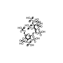 O=S(=O)(O)OC[C@H]1O[C@@H](OC[C@@H](OS(=O)(=O)O)[C@@H](OS(=O)(=O)O)[C@H](OS(=O)(=O)O)[C@@H](COS(=O)(=O)O)OS(=O)(=O)O)[C@H](OS(=O)(=O)O)[C@@H](OS(=O)(=O)O)[C@@H]1OS(=O)(=O)O